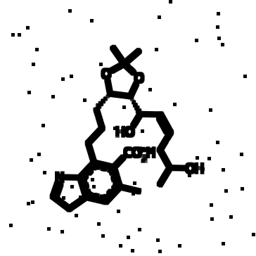 Cc1cc2c(c(CCC[C@@H]3OC(C)(C)O[C@@H]3C(O)/C=C\[C@@H](C)C(C)O)c1C(=O)O)N=CC2